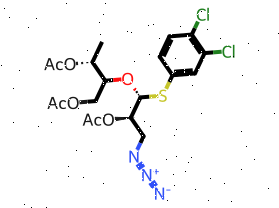 CC(=O)OCC(O[C@H](Sc1ccc(Cl)c(Cl)c1)[C@@H](CN=[N+]=[N-])OC(C)=O)[C@@H](C)OC(C)=O